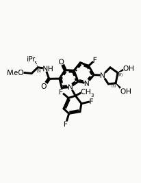 COC[C@@H](NC(=O)c1cn(C2(C)C(F)=CC(F)=CC2F)c2nc(N3C[C@@H](O)[C@@H](O)C3)c(F)cc2c1=O)C(C)C